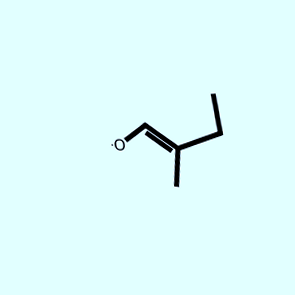 CCC(C)=C[O]